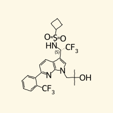 CC(C)(O)Cn1cc([C@H](NS(=O)(=O)C2CCC2)C(F)(F)F)c2ccc(-c3ccccc3C(F)(F)F)nc21